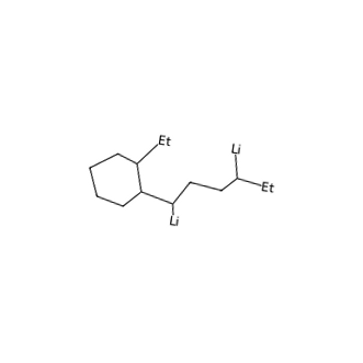 [Li][CH](CC)CC[CH]([Li])C1CCCCC1CC